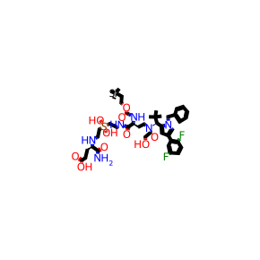 CC(C)(C)[C@H](c1cc(-c2cc(F)ccc2F)cn1Cc1ccccc1)N(CC[C@H](NC(=O)OCC[Si](C)(C)C)C(=O)NCCS(O)(O)CCN[C@H](CCC(=O)O)C(N)=O)C(=O)CO